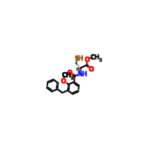 COC(=O)[C@@H](CS)NC(=O)c1cccc(Cc2ccccc2)c1OC